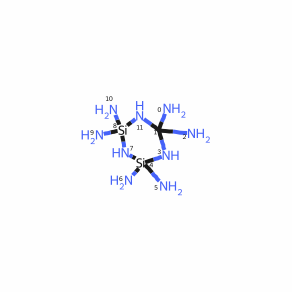 NC1(N)N[Si](N)(N)N[Si](N)(N)N1